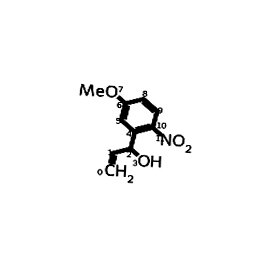 C=CC(O)c1cc(OC)ccc1[N+](=O)[O-]